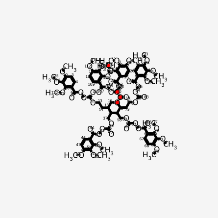 COc1ccc(C(=O)OOC(=O)OCCC(COC(=O)OOC(=O)c2ccc(OC)c(OC)c2OC)C(COC(=O)OOC(=O)c2ccc(OC)c(OC)c2OC)C(COC(=O)OOC(=O)c2ccc(OC)c(OC)c2OC)C(CCOC(=O)OOC(=O)c2ccc(OC)c(OC)c2OC)COC(=O)OOC(=O)c2ccc(OC)c(OC)c2OC)c(OC)c1OC